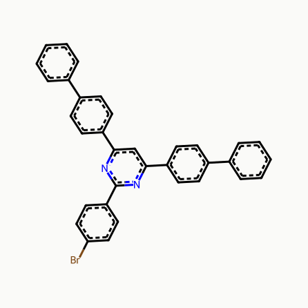 Brc1ccc(-c2nc(-c3ccc(-c4ccccc4)cc3)cc(-c3ccc(-c4ccccc4)cc3)n2)cc1